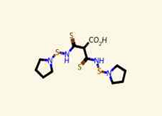 O=C(O)C(C(=S)NSN1CCCC1)C(=S)NSN1CCCC1